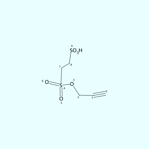 C#CCOS(=O)(=O)CCS(=O)(=O)O